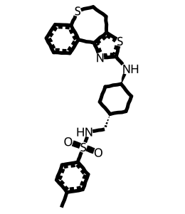 Cc1ccc(S(=O)(=O)NC[C@H]2CC[C@H](Nc3nc4c(s3)CCSc3ccccc3-4)CC2)cc1